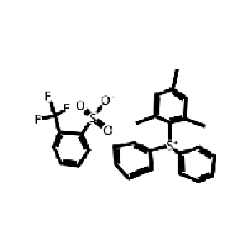 Cc1cc(C)c([S+](c2ccccc2)c2ccccc2)c(C)c1.O=S(=O)([O-])c1ccccc1C(F)(F)F